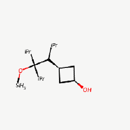 CC(C)C([C@H]1C[C@@H](O)C1)C(O[SiH3])(C(C)C)C(C)C